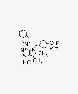 Cc1c(C)n(Cc2ccc(OC(F)(F)F)cc2)c2c(N3CCc4ccccc4C3)nccc12.Cl